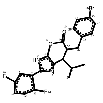 CC(C)C1c2nc(-c3cc(F)ccc3F)[nH]c2OC(=O)C1Cc1ccc(Br)cc1